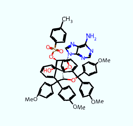 COc1ccc(C(OC([C@H]2O[C@@H](n3cnc4c(N)ncnc43)[C@H](OS(=O)(=O)c3ccc(C)cc3)[C@@H]2O)C(c2ccccc2)(c2ccc(OC)cc2)c2ccc(OC)cc2)(c2ccccc2)c2ccc(OC)cc2)cc1